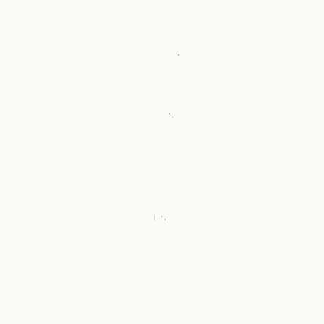 O=C(NCCC(F)(F)F)c1ccc2c(c1)N=C(c1ccccn1)c1ccccc1S2